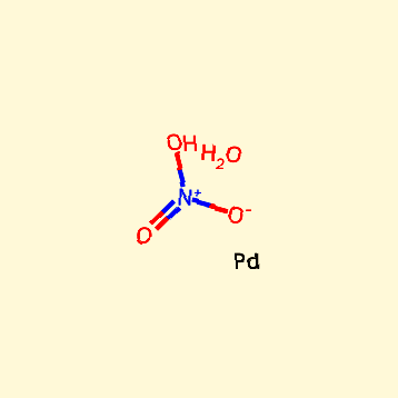 O.O=[N+]([O-])O.[Pd]